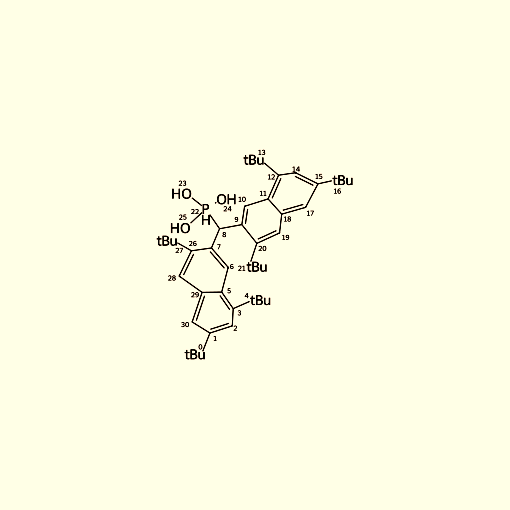 CC(C)(C)c1cc(C(C)(C)C)c2cc(C(c3cc4c(C(C)(C)C)cc(C(C)(C)C)cc4cc3C(C)(C)C)[PH](O)(O)O)c(C(C)(C)C)cc2c1